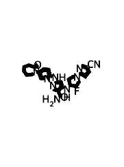 N#Cc1ccc(N2CC[C@@H](Nc3cc(Nc4ccc(N5CCCCCC5=O)cn4)ncc3C(N)=O)[C@H](F)C2)nc1